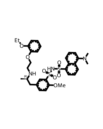 CCOc1ccccc1OCCN[C@H](C)Cc1ccc(OC)c(S(=O)(=O)NS(=O)(=O)c2cccc3c(N(C)C)cccc23)c1